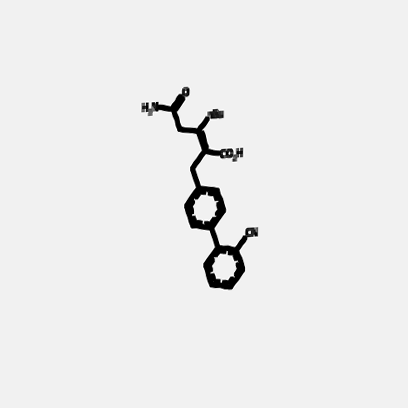 CCCC/C(CC(N)=O)=C(/Cc1ccc(-c2ccccc2C#N)cc1)C(=O)O